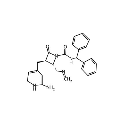 C=NC[C@@H]1[C@@H](CC2=CCNC(N)=C2)C(=O)N1C(=O)NC(c1ccccc1)c1ccccc1